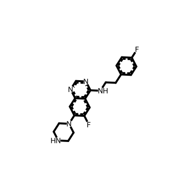 Fc1ccc(CCNc2ncnc3cc(N4CCNCC4)c(F)cc23)cc1